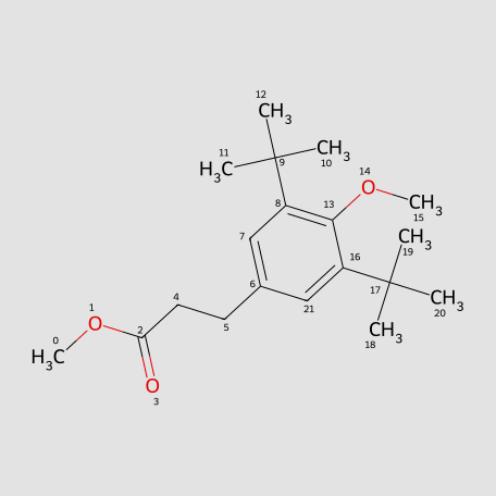 COC(=O)CCc1cc(C(C)(C)C)c(OC)c(C(C)(C)C)c1